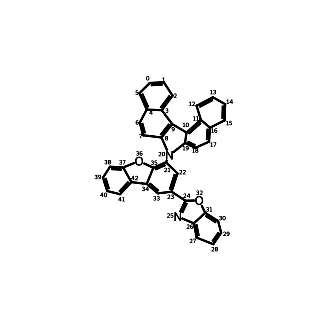 c1ccc2c(c1)ccc1c2c2c3ccccc3ccc2n1-c1cc(-c2nc3ccccc3o2)cc2c1oc1ccccc12